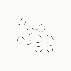 C1=C2C(=CC(c3ccc4ccccc4c3-c3nc(-c4ccccc4)nc(-c4ccccc4)n3)C1)C1(c3ccccc32)c2ccccc2-c2ccccc21